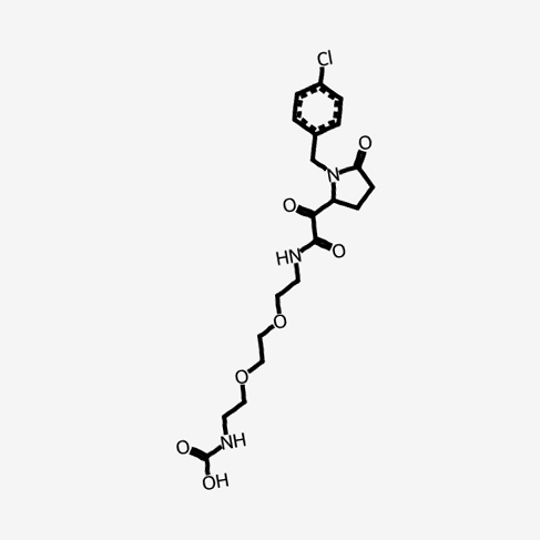 O=C(O)NCCOCCOCCNC(=O)C(=O)C1CCC(=O)N1Cc1ccc(Cl)cc1